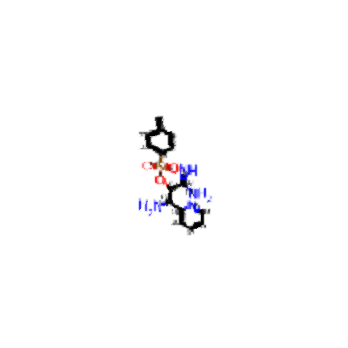 Cc1ccc(S(=O)(=O)OC(C(=N)N)C(N)c2ccccn2)cc1